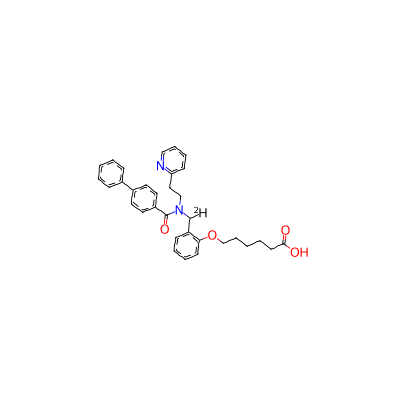 [2H]C(c1ccccc1OCCCCCC(=O)O)N(CCc1ccccn1)C(=O)c1ccc(-c2ccccc2)cc1